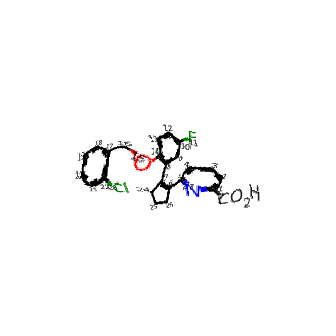 O=C(O)c1cccc(C2=C(c3cc(F)ccc3OCc3ccccc3Cl)CCC2)n1